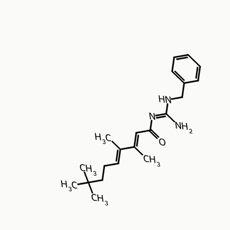 CC(=C\CCC(C)(C)C)/C(C)=C/C(=O)/N=C(\N)NCc1ccccc1